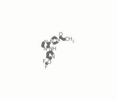 C=CC(=O)N1CCN(c2nccnc2Nc2ccc(OC(F)F)nc2)CC1